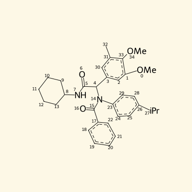 COc1cc(C(C(=O)NC2CCCCC2)N(C(=O)c2ccccc2)c2ccc(C(C)C)cc2)cc(C)c1OC